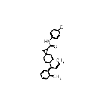 C=c1cccc/c1=C(/C=C\C)C1CCC2(CC1)CC2C(=O)Nc1ccc(Cl)cc1